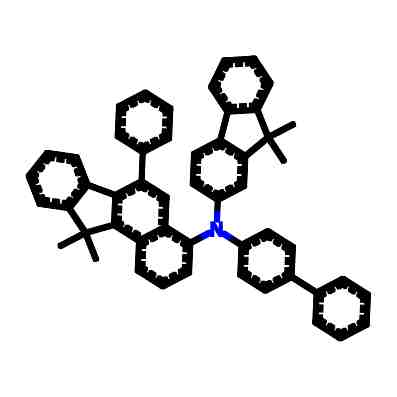 CC1(C)c2ccccc2-c2ccc(N(c3ccc(-c4ccccc4)cc3)c3cccc4c5c(c(-c6ccccc6)cc34)-c3ccccc3C5(C)C)cc21